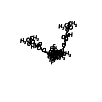 C=C(C)C(=O)OCCNC(=O)OCCOCCC[Si](C)(C)OC(C)(C)C(C)(CCC(F)(F)F)C(C)(CCC(F)(F)F)C(C)(C)[Si](C)(C)CCCOCCOC(=O)NCCOC(=O)C(=C)C